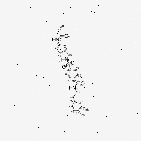 C=CC(=O)Nc1cc2c(s1)CN(S(=O)(=O)c1ccc(C(=O)NCCc3ccc(C)c(C)c3)cc1)C2